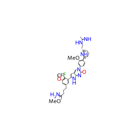 COC[C@H](N)CCCc1cc(OC(F)(F)F)c(F)c(-c2cc3cn(-c4ccc([C@@H]5CCC[C@@H](CCNC(C)=N)N5)c(OC)c4)c(=O)nc3[nH]2)c1